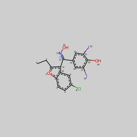 CCc1oc2ccc(Cl)cc2c1/C(=N/O)c1cc(I)c(O)c(I)c1